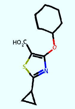 O=C(O)c1sc(C2CC2)nc1OC1CCCCC1